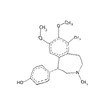 COc1cc2c(c(C)c1OC)CCN(C)CC2c1ccc(O)cc1